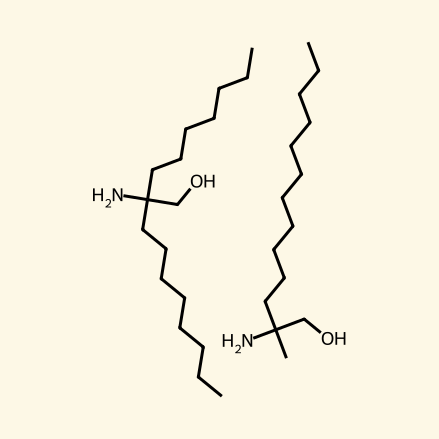 CCCCCCCCC(N)(CO)CCCCCCC.CCCCCCCCCCCC(C)(N)CO